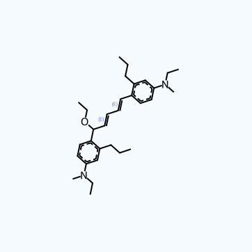 CCCc1cc(N(C)CC)ccc1/C=C/C=C/C(OCC)c1ccc(N(C)CC)cc1CCC